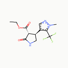 CCOC(=O)[C@H]1C(=O)NC[C@@H]1c1cnn(C)c1C(F)(F)F